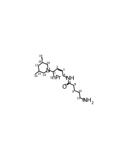 CCCC(/C=C\CNC(=O)CCCCN)N1CC(C)C[C@@H](C)C1